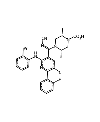 CC(C)c1ccccc1Nc1nc(-c2ccccc2F)c(Cl)cc1/C(=N/C#N)N1C[C@@H](C)N(C(=O)O)C[C@@H]1C